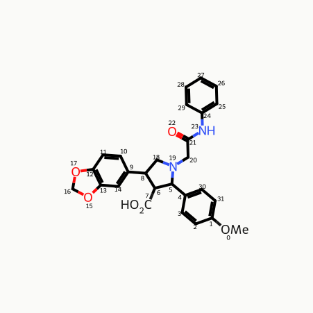 COc1ccc(C2C(C(=O)O)C(c3ccc4c(c3)OCO4)CN2CC(=O)Nc2ccccc2)cc1